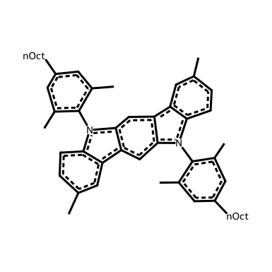 CCCCCCCCc1cc(C)c(-n2c3ccc(C)cc3c3cc4c(cc32)c2cc(C)ccc2n4-c2c(C)cc(CCCCCCCC)cc2C)c(C)c1